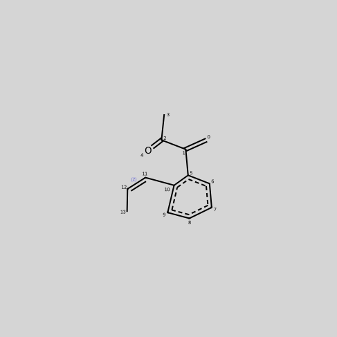 C=C(C(C)=O)c1ccccc1/C=C\C